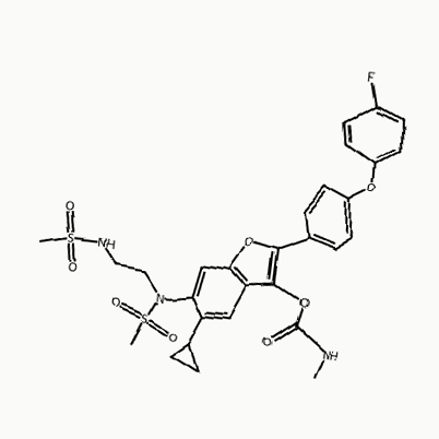 CNC(=O)Oc1c(-c2ccc(Oc3ccc(F)cc3)cc2)oc2cc(N(CCNS(C)(=O)=O)S(C)(=O)=O)c(C3CC3)cc12